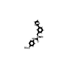 COc1ccc(NC(=O)N(Cc2cccc(-c3nccs3)c2)C(C)C)cc1